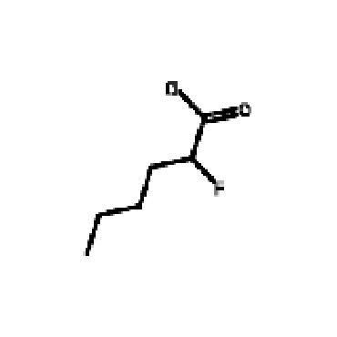 CCCCC(F)C(=O)Cl